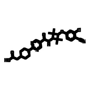 CC1(C)C(NC(=O)c2cnc(N3CCC(CC(=O)O)CC3)nc2)C(C)(C)C1Oc1ccc(C#N)c(Cl)c1